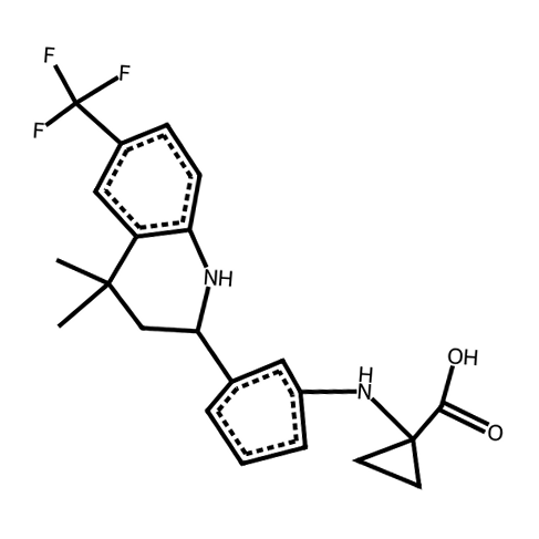 CC1(C)CC(c2cccc(NC3(C(=O)O)CC3)c2)Nc2ccc(C(F)(F)F)cc21